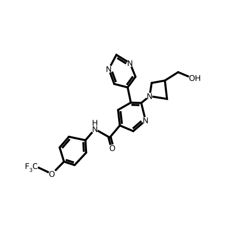 O=C(Nc1ccc(OC(F)(F)F)cc1)c1cnc(N2CC(CO)C2)c(-c2cncnc2)c1